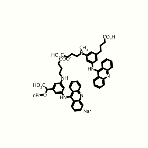 CCCOC(C(=O)O)c1cc(NCCCC(=O)[O-])cc(Nc2c3ccccc3nc3ccccc23)c1.CN(CCCC(=O)O)c1cc(CCCC(=O)O)cc(Nc2c3ccccc3nc3ccccc23)c1.[Na+]